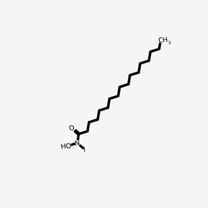 CCCCCCCCCCCCCCCCC(=O)N(O)I